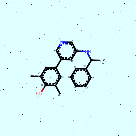 CCCC(Nc1cncc(-c2cc(C)c(O)c(C)c2)c1)c1ccccc1